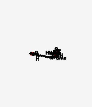 COc1cc(N2CCN(CCCCCCCCCCCCNC(=O)CC3(C)CC4CC(C)CC(C4)C3)CC2)ccc1Nc1ncc2c(C)cc(=O)n(-c3cccc(NCC4CNC4)c3)c2n1